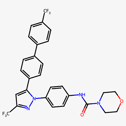 O=C(Nc1ccc(-n2nc(C(F)(F)F)cc2-c2ccc(-c3ccc(C(F)(F)F)cc3)cc2)cc1)N1CCOCC1